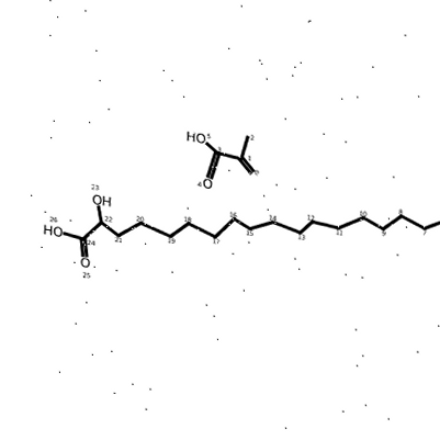 C=C(C)C(=O)O.CCCCCCCCCCCCCCCCC(O)C(=O)O